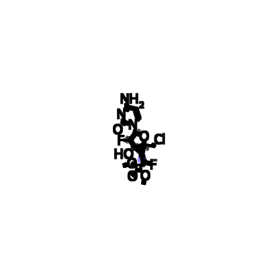 COP(=O)(OC)/C(F)=C1/[C@@]2(CCl)O[C@@H](n3ccc(N)nc3=O)[C@H](F)[C@@]12O